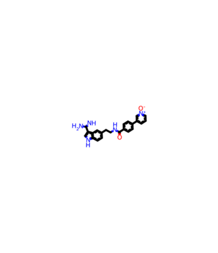 N=C(N)c1c[nH]c2ccc(CCNC(=O)c3ccc(-c4ccc[n+]([O-])c4)cc3)cc12